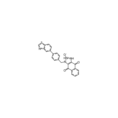 O=C1C2=C(C(=O)c3ccccc31)N(Cc1ccc(-c3ccc4scnc4c3)cc1)[NH+]([O-])N2